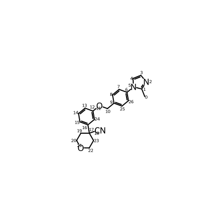 Cc1nccn1-c1ccc(COc2cccc(C3(C#N)CCOCC3)c2)cc1